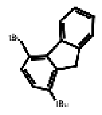 CC(C)(C)c1ccc(C(C)(C)C)c2c1Cc1ccccc1-2